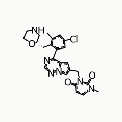 Cc1cc(Cl)cc(-c2ncnn3cc(Cn4c(=O)ccn(C)c4=O)cc23)c1C[C@H]1CNCCO1